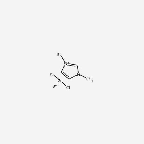 CC[n+]1ccn(C)c1.[Br-].[Cl][Zn][Cl]